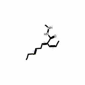 C/C=C\C(=C/C/C=C/CC)C(=O)NNC